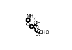 CCC(Cc1ncc(O)c2cc(Oc3ccc(N)cc3)ccc12)OC=O